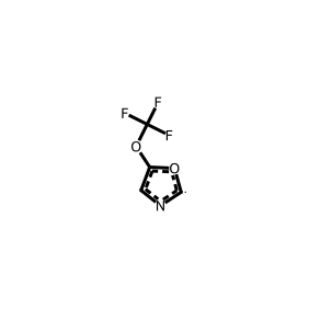 FC(F)(F)Oc1cn[c]o1